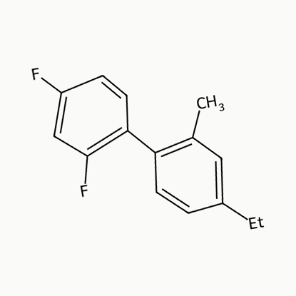 CCc1ccc(-c2ccc(F)cc2F)c(C)c1